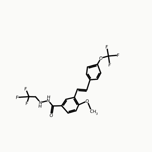 COc1ccc(C(=O)NNCC(F)(F)F)cc1/C=C/c1ccc(OC(F)(F)F)cc1